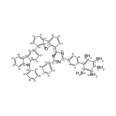 Bc1c(B)c(B)c(-c2ccc(-c3nc(-c4ccccc4)nc(-c4cccc5c4oc4c(-c6ccc7c(c6)c6ccccc6n7-c6ccccc6)cccc45)n3)cc2)c(B)c1B